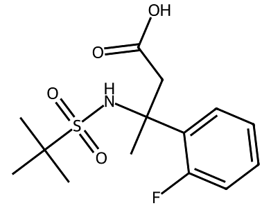 CC(CC(=O)O)(NS(=O)(=O)C(C)(C)C)c1ccccc1F